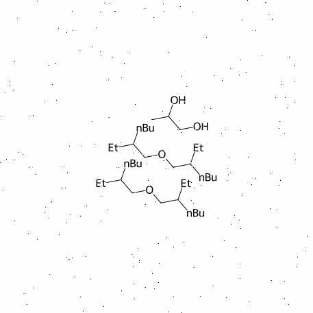 CC(O)CO.CCCCC(CC)COCC(CC)CCCC.CCCCC(CC)COCC(CC)CCCC